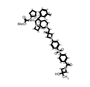 COC(=O)N[C@H]1CCC[C@@H]1C(CN1CCC1)(c1cccc(F)c1)C1CCN(CC2(F)CN(c3ccc(S(=O)(=O)c4ccc(C(=O)N5CC(C)(O)C5)cc4)cc3)C2)CC1